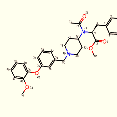 COC(=O)[C@H](Cc1ccccc1)N(C(C)=O)C1CCN(Cc2cccc(Oc3ccccc3OC)c2)CC1